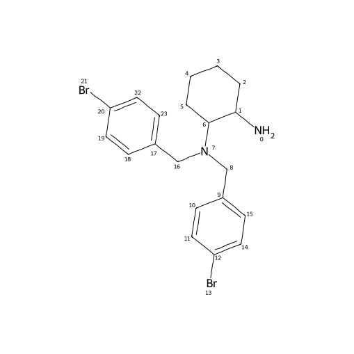 NC1CCCCC1N(Cc1ccc(Br)cc1)Cc1ccc(Br)cc1